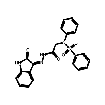 O=C(CN(c1ccccc1)S(=O)(=O)c1ccccc1)N/N=C1\C(=O)Nc2ccccc21